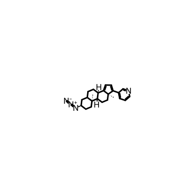 C[C@]12CC[C@H]3[C@@H](CCC4C[C@H](N=[N+]=[N-])CC[C@@]43C)C1=CC=C2c1cccnc1